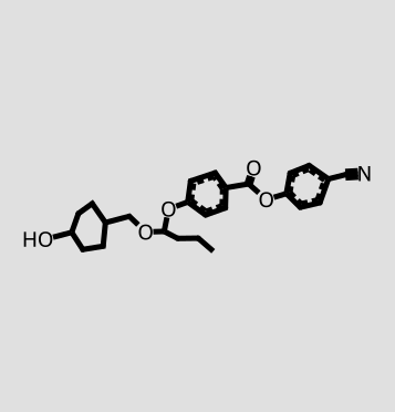 CCCC(OCC1CCC(O)CC1)Oc1ccc(C(=O)Oc2ccc(C#N)cc2)cc1